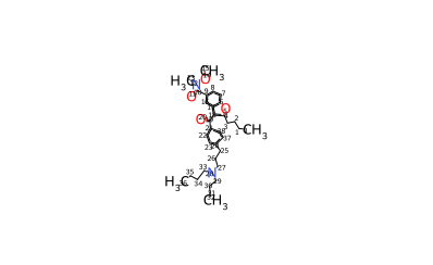 CCCCc1oc2ccc(C(=O)N(C)OC)cc2c1C(=O)c1ccc(CCCN(CCCC)CCCC)cc1